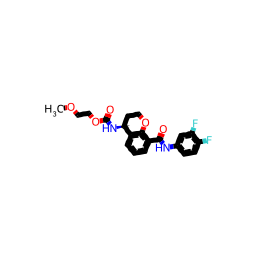 COCCOC(=O)N[C@H]1CCOc2c(C(=O)Nc3ccc(F)c(F)c3)cccc21